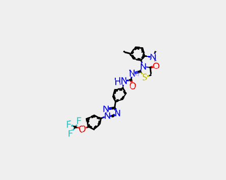 Cc1ccc(N(C)C)c(N2C(=O)CS/C2=N\C(=O)Nc2ccc(-c3ncn(-c4ccc(OC(F)(F)F)cc4)n3)cc2)c1